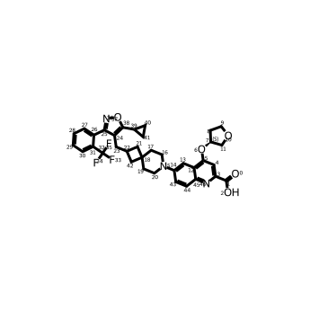 O=C(O)c1cc(O[C@H]2CCOC2)c2cc(N3CCC4(CC3)CC(Cc3c(-c5ccccc5C(F)(F)F)noc3C3CC3)C4)ccc2n1